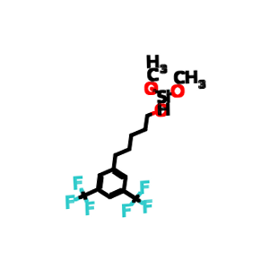 CO[SiH](OC)OCCCCCc1cc(C(F)(F)F)cc(C(F)(F)F)c1